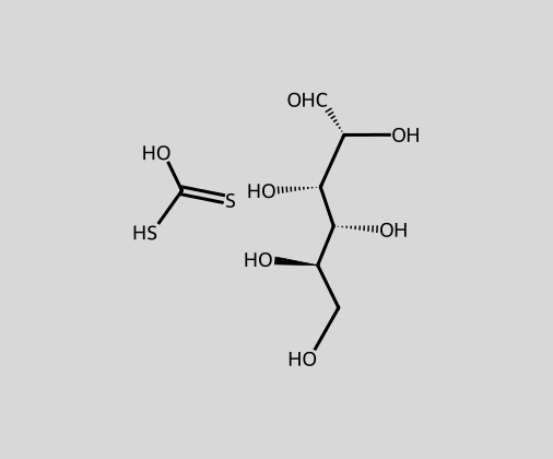 O=C[C@H](O)[C@@H](O)[C@H](O)[C@H](O)CO.OC(=S)S